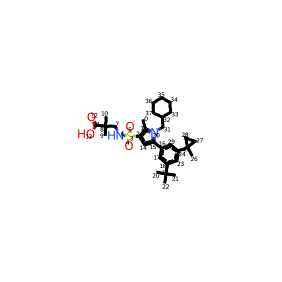 Cc1c(S(=O)(=O)NCC(C)(C)C(=O)O)cc(-c2cc(C(C)(C)C)cc(C3(C)CC3)c2)n1CC1CCCCC1